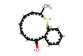 Cc1cccccc(=O)c2ccccc2s1